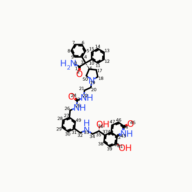 NC(=O)C(c1ccccc1)(c1ccccc1)[C@@H]1CCN(CCNC(=O)NCc2cccc(CNC[C@H](O)c3ccc(O)c4[nH]c(=O)ccc34)c2)C1